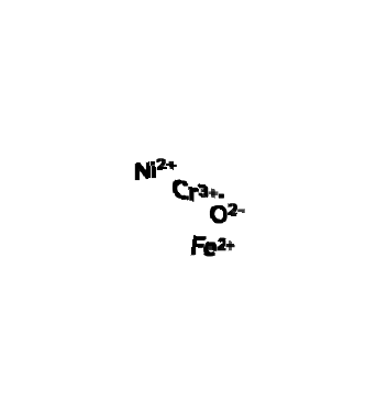 [Cr+3].[Fe+2].[Ni+2].[O-2]